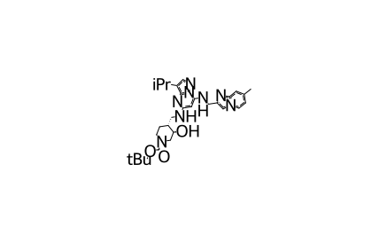 Cc1ccn2cc(CNc3cc(NC[C@H]4CCN(C(=O)OC(C)(C)C)C[C@@H]4O)nc4c(C(C)C)cnn34)nc2c1